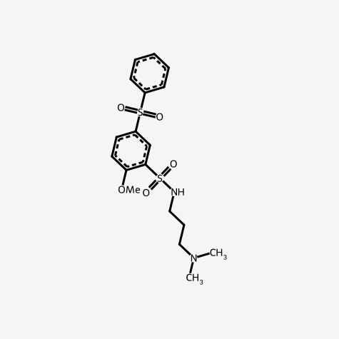 COc1ccc(S(=O)(=O)c2ccccc2)cc1S(=O)(=O)NCCCN(C)C